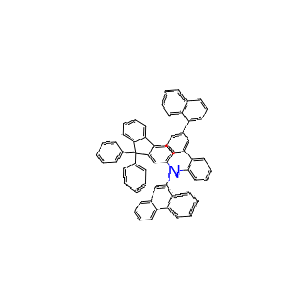 c1ccc(C2(c3ccccc3)c3ccccc3-c3ccc(N(c4ccccc4-c4cccc(-c5cccc6ccccc56)c4)c4cc5ccccc5c5ccccc45)cc32)cc1